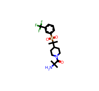 CC(C)(N)C(=O)N1CCC(C(C)(C)S(=O)(=O)c2cccc(C(F)(F)F)c2)CC1